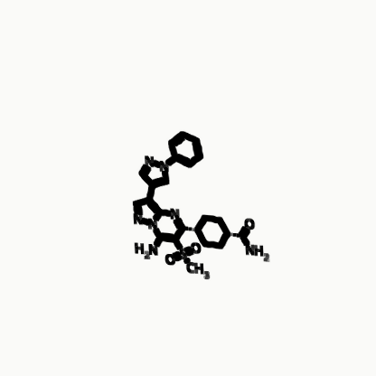 CS(=O)(=O)c1c(N)n2ncc(-c3cnn(-c4ccccc4)c3)c2nc1[C@H]1CC[C@@H](C(N)=O)CC1